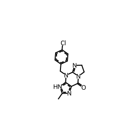 Cc1nc2c([nH]1)N(Cc1ccc(Cl)cc1)C1=NCCN1C2=O